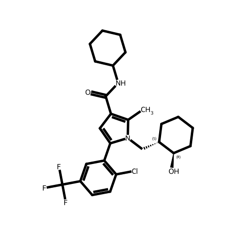 Cc1c(C(=O)NC2CCCCC2)cc(-c2cc(C(F)(F)F)ccc2Cl)n1C[C@@H]1CCCC[C@H]1O